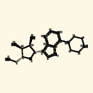 OC[C@H]1O[C@@H](n2cnc3c(N4CCNCC4)ncnc32)[C@H](O)[C@@H]1O